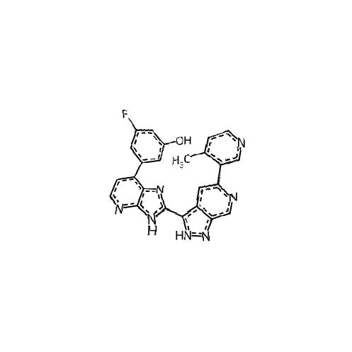 Cc1ccncc1-c1cc2c(-c3nc4c(-c5cc(O)cc(F)c5)ccnc4[nH]3)[nH]nc2cn1